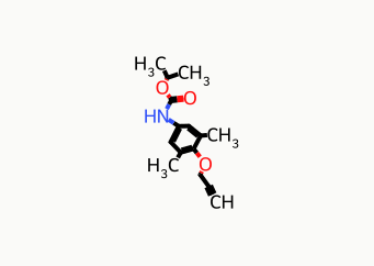 C#CCOc1c(C)cc(NC(=O)OC(C)C)cc1C